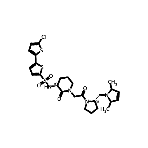 CC1C=CC(C)N1C[C@@H]1CCCN1C(=O)CN1CCC[C@H](NS(=O)(=O)c2ccc(-c3ccc(Cl)s3)s2)C1=O